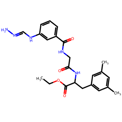 CCOC(=O)C(Cc1cc(C)cc(C)c1)NC(=O)CNC(=O)c1cccc(NC=NN)c1